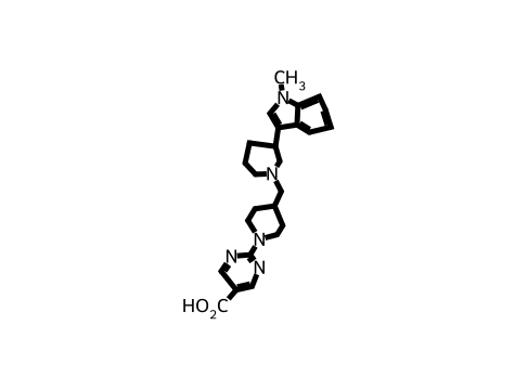 Cn1cc(C2CCCN(CC3CCN(c4ncc(C(=O)O)cn4)CC3)C2)c2ccccc21